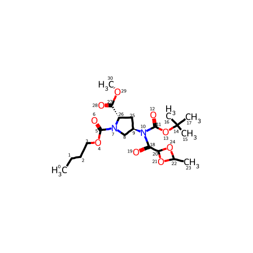 CCCCOC(=O)N1C[C@H](N(C(=O)OC(C)(C)C)C(=O)C2OC(C)O2)C[C@H]1C(=O)OC